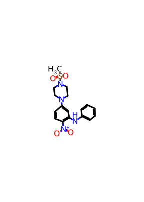 CS(=O)(=O)N1CCN(c2ccc([N+](=O)[O-])c(Nc3ccccc3)c2)CC1